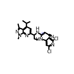 CCC(N/C(=C/C#N)Nc1cc(Cl)nc(Cl)c1)c1cc(C(C)C)c2c(C)nn(C)c2n1